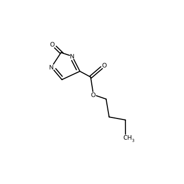 CCCCOC(=O)C1=NC(=O)N=C1